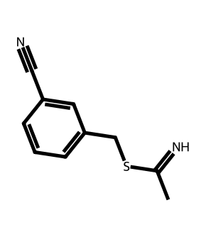 CC(=N)SCc1cccc(C#N)c1